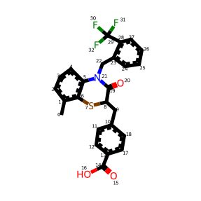 Cc1cccc2c1SC(Cc1ccc(C(=O)O)cc1)C(=O)N2Cc1ccccc1C(F)(F)F